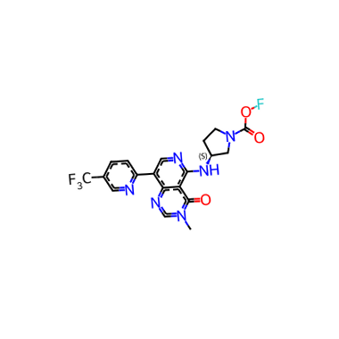 Cn1cnc2c(-c3ccc(C(F)(F)F)cn3)cnc(N[C@H]3CCN(C(=O)OF)C3)c2c1=O